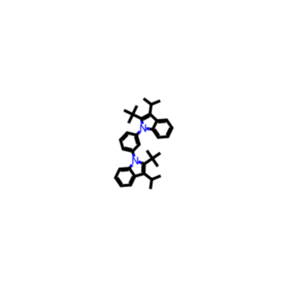 CC(C)c1c(C(C)(C)C)n(-c2cccc(-n3c(C(C)(C)C)c(C(C)C)c4ccccc43)c2)c2ccccc12